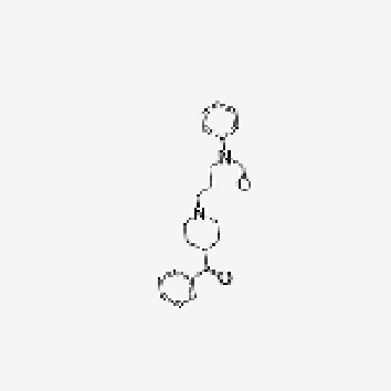 O=CN(CCCN1CCC(C(=O)c2ccccc2)CC1)c1ccccc1